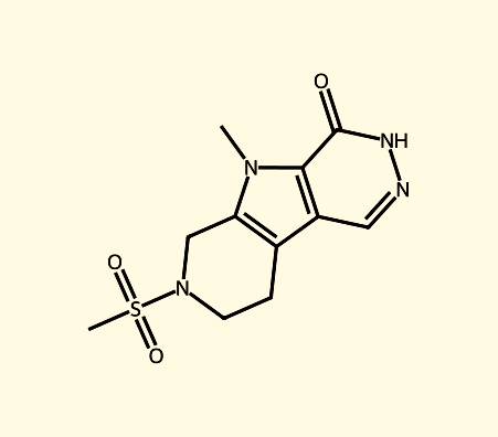 Cn1c2c(c3cn[nH]c(=O)c31)CCN(S(C)(=O)=O)C2